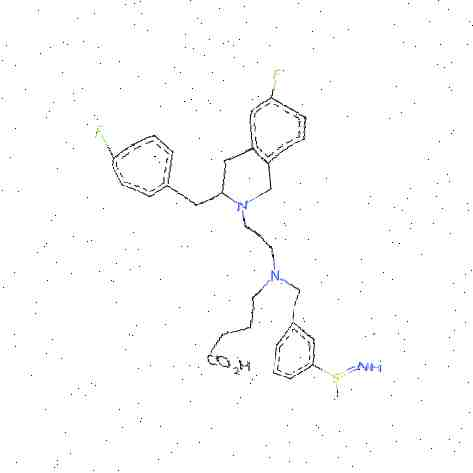 CS(=N)c1cccc(CN(CCCC(=O)O)CCN2Cc3ccc(F)cc3CC2Cc2ccc(F)cc2)c1